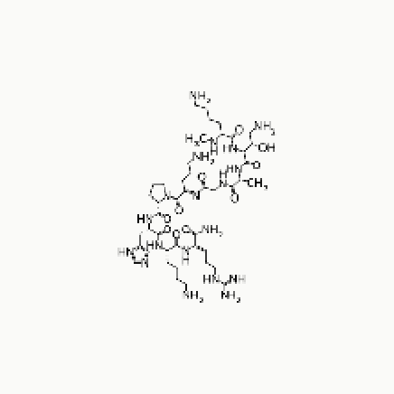 CN[C@@H](CCCCN)C(=O)N[C@H](C(=O)N[C@@H](C)C(=O)NCC(=O)/N=C(\CCCN)C(=O)N1CCC[C@H]1C(=O)N[C@@H](Cc1cnc[nH]1)C(=O)N[C@@H](CCCCN)C(=O)N/C(=C\CCNC(=N)N)C(N)=O)[C@@H](O)CN